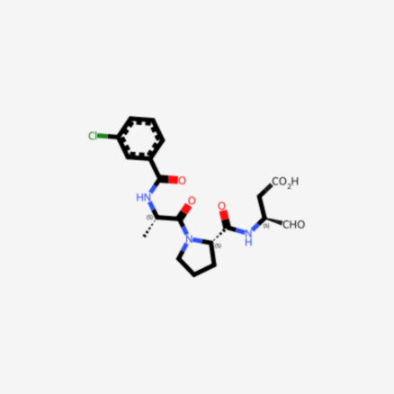 C[C@H](NC(=O)c1cccc(Cl)c1)C(=O)N1CCC[C@H]1C(=O)N[C@H](C=O)CC(=O)O